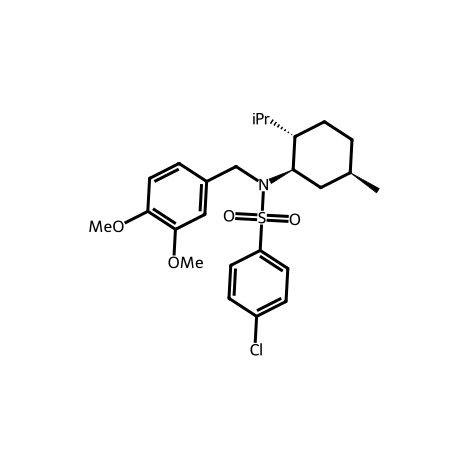 COc1ccc(CN([C@@H]2C[C@H](C)CC[C@H]2C(C)C)S(=O)(=O)c2ccc(Cl)cc2)cc1OC